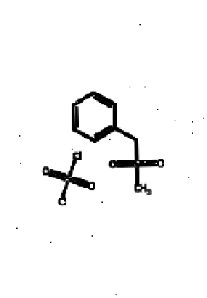 CS(=O)(=O)Cc1ccccc1.O=S(=O)(Cl)Cl